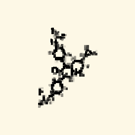 O=c1c(-c2ccc(OC(F)F)cc2)cn2ccc(C3CC3)cc2c1-c1ccc(OC(F)F)cc1